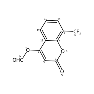 O=COc1cc(=O)oc2c(C(F)(F)F)cccc12